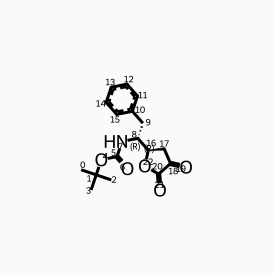 CC(C)(C)OC(=O)N[C@H](Cc1ccccc1)[C@H]1CC(=O)C(=O)O1